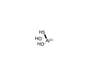 [Al+2][SH].[OH-].[OH-]